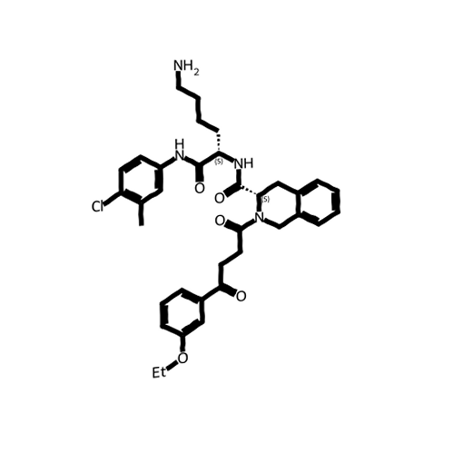 CCOc1cccc(C(=O)CCC(=O)N2Cc3ccccc3C[C@H]2C(=O)N[C@@H](CCCCN)C(=O)Nc2ccc(Cl)c(C)c2)c1